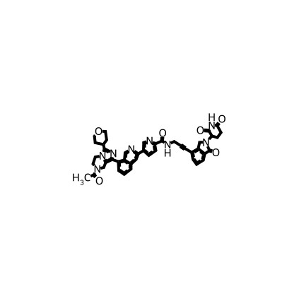 CC(=O)N1CCn2c(C3CCOCC3)nc(-c3cccc4cc(-c5ccc(C(=O)NCC#Cc6cccc7c6CN(C6CCC(=O)NC6=O)C7=O)nc5)ncc34)c2C1